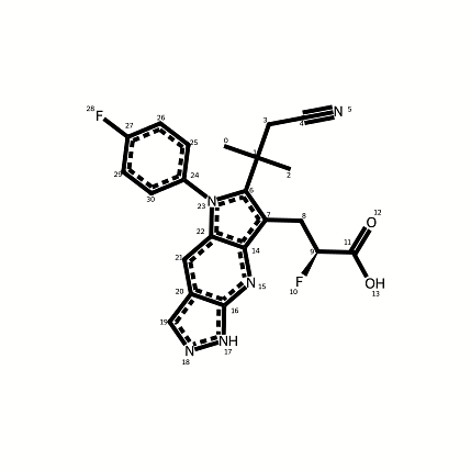 CC(C)(CC#N)c1c(C[C@H](F)C(=O)O)c2nc3[nH]ncc3cc2n1-c1ccc(F)cc1